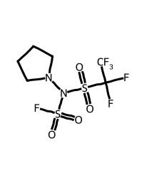 O=S(=O)(F)N(N1CCCC1)S(=O)(=O)C(F)(F)C(F)(F)F